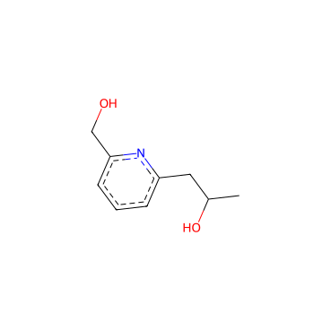 CC(O)Cc1cccc(CO)n1